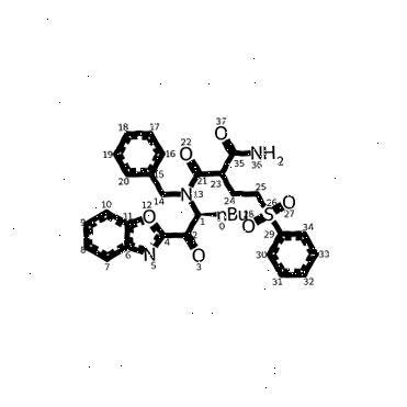 CCCC[C@@H](C(=O)c1nc2ccccc2o1)N(Cc1ccccc1)C(=O)C(CCS(=O)(=O)c1ccccc1)C(N)=O